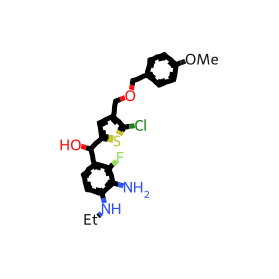 CCNc1ccc(C(O)c2cc(COCc3ccc(OC)cc3)c(Cl)s2)c(F)c1N